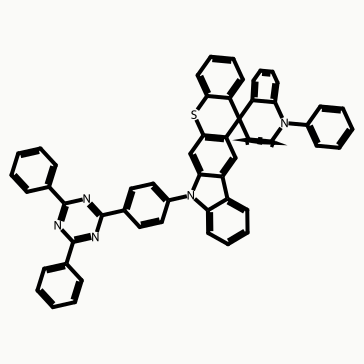 c1ccc(-c2nc(-c3ccccc3)nc(-c3ccc(-n4c5ccccc5c5cc6c(cc54)Sc4ccccc4C64c5ccccc5N(c5ccccc5)c5ccccc54)cc3)n2)cc1